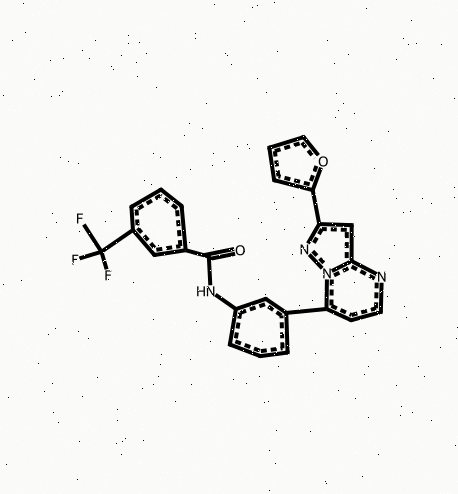 O=C(Nc1cccc(-c2ccnc3cc(-c4ccco4)nn23)c1)c1cccc(C(F)(F)F)c1